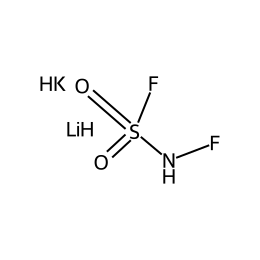 O=S(=O)(F)NF.[KH].[LiH]